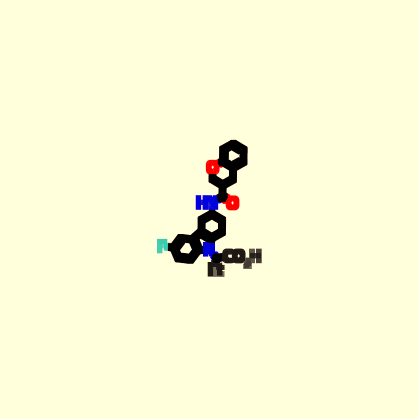 CCC(C(=O)O)n1c2c(c3cc(F)ccc31)C[C@@H](NC(=O)C1COc3ccccc3C1)CC2